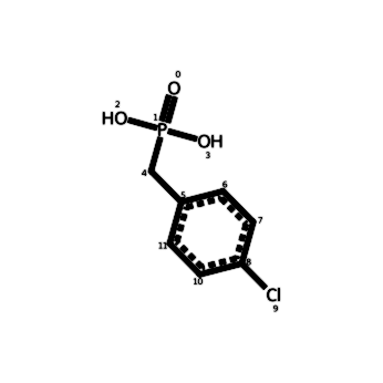 O=P(O)(O)Cc1ccc(Cl)cc1